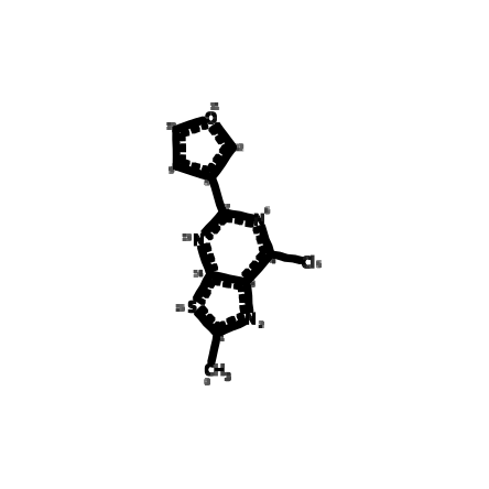 Cc1nc2c(Cl)nc(-c3ccoc3)nc2s1